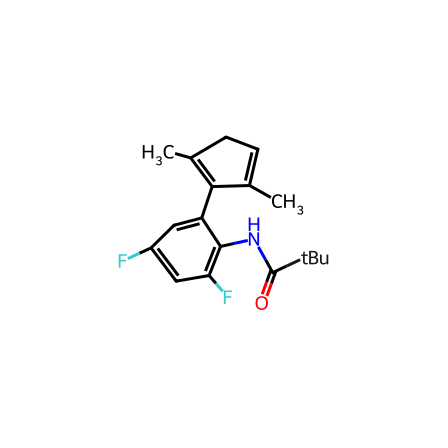 CC1=CCC(C)=C1c1cc(F)cc(F)c1NC(=O)C(C)(C)C